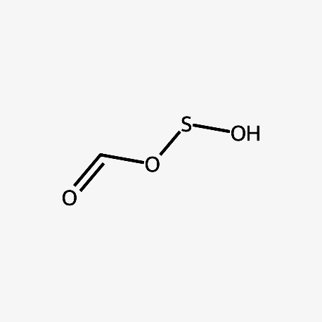 O=COSO